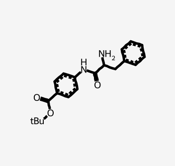 CC(C)(C)OC(=O)c1ccc(NC(=O)C(N)Cc2ccccc2)cc1